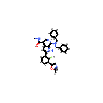 CNC(=O)c1cnc(N(Cc2ccccc2)Cc2ccccc2)c2[nH]c(-c3cccc(-c4cnc(C)o4)c3F)cc12